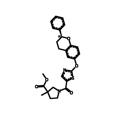 COC(=O)C1(C)CCN(C(=O)c2cnc(Oc3ccc4c(c3)CC[C@@H](c3ccccc3)O4)s2)C1